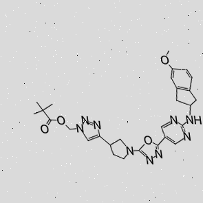 COc1ccc2c(c1)CC(Nc1ncc(-c3nnc(N4CCC(c5cn(COC(=O)C(C)(C)C)nn5)C4)o3)cn1)C2